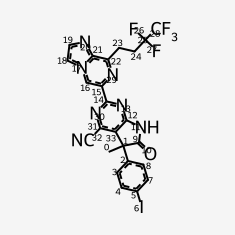 CC1(c2ccc(I)cc2)C(=O)Nc2nc(-c3cn4ccnc4c(CCC(F)(F)C(F)(F)F)n3)nc(C#N)c21